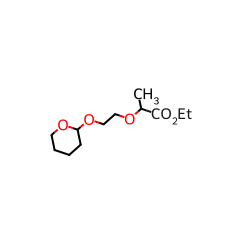 CCOC(=O)C(C)OCCOC1CCCCO1